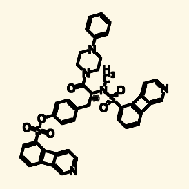 CN([C@@H](Cc1ccc(OS(=O)(=O)c2cccc3c2-c2ccncc2-3)cc1)C(=O)N1CCN(c2ccccc2)CC1)S(=O)(=O)c1cccc2c1-c1ccncc1-2